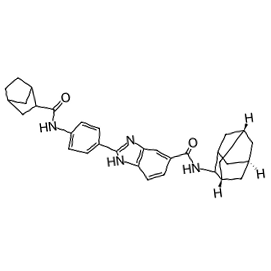 O=C(NC1C2C[C@H]3C[C@@H](C2)C[C@@H]1C3)c1ccc2[nH]c(-c3ccc(NC(=O)C4CC5CCC4C5)cc3)nc2c1